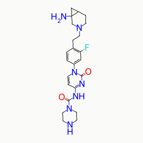 NC12CC1CCN(CCc1ccc(-n3ccc(NC(=O)N4CCNCC4)nc3=O)cc1F)C2